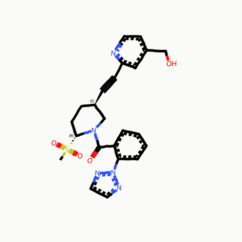 CS(=O)(=O)[C@@H]1CC[C@@H](C#Cc2cc(CO)ccn2)CN1C(=O)c1ccccc1-n1nccn1